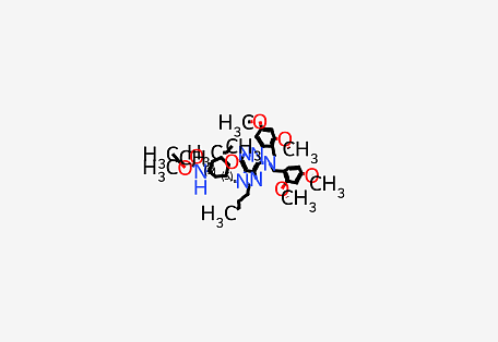 CCCCc1nc2c(N(Cc3ccc(OC)cc3OC)Cc3ccc(OC)cc3OC)nnc(OC(C)C)c2n1C[C@H]1CCC[C@H](NC(=O)OC(C)(C)C)C1